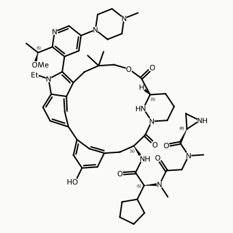 CCn1c(-c2cc(N3CCN(C)CC3)cnc2[C@H](C)OC)c2c3cc(ccc31)-c1cc(O)cc(c1)C[C@H](NC(=O)[C@H](C1CCCC1)N(C)C(=O)CN(C)C(=O)[C@H]1CN1)C(=O)N1CCC[C@H](N1)C(=O)OCC(C)(C)C2